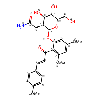 COc1ccc(C=CC(=O)c2c(OC)cc(OC)cc2O[C@@H]2O[C@H](CO)[C@@H](O)[C@H](O)[C@@H]2CC(N)=O)cc1